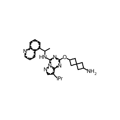 CC(C)c1cnn2c(NC(C)c3cccc4ncccc34)nc(OC3CC4(CC(N)C4)C3)nc12